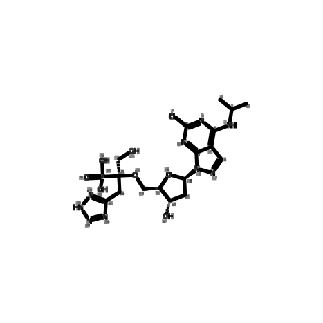 CC(C)Nc1nc(Cl)nc2c1cnn2[C@H]1C[C@H](O)[C@@H](CO[C@@](CO)(Cc2nn[nH]n2)P(=O)(O)O)O1